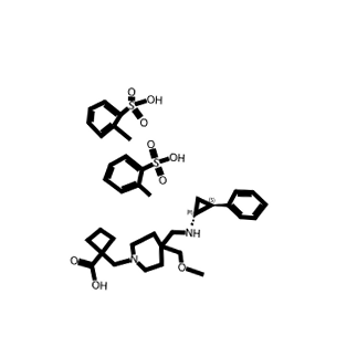 COCC1(CN[C@@H]2C[C@H]2c2ccccc2)CCN(CC2(C(=O)O)CCC2)CC1.Cc1ccccc1S(=O)(=O)O.Cc1ccccc1S(=O)(=O)O